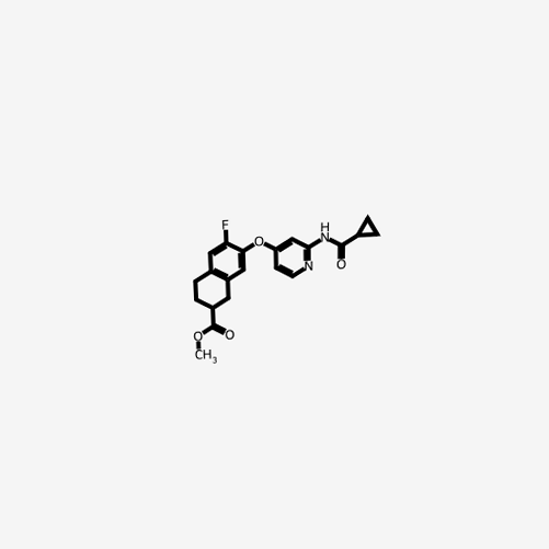 COC(=O)C1CCc2cc(F)c(Oc3ccnc(NC(=O)C4CC4)c3)cc2C1